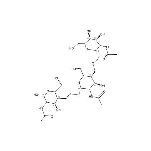 CC(=O)NC1[C@H](COC[C@@H]2C(CO)O[C@@H](COC[C@@H]3C(CO)O[C@@H](O)C(NC(C)=O)[C@@H]3O)C(NC(C)=O)[C@@H]2O)OC(CO)[C@@H](O)[C@H]1O